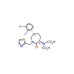 O=C1[C@H](N(C(=O)O)C(=O)O)CC[C@@H](c2cccc(F)c2F)CN1Cc1nccs1